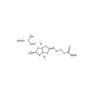 CCCCC[C@H](O)/C=C/[C@@H]1[C@H]2C/C(=C/CCCC(=O)NC)C[C@H]2C[C@H]1O